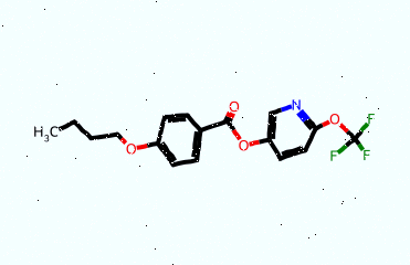 CCCCOc1ccc(C(=O)Oc2ccc(OC(F)(F)F)nc2)cc1